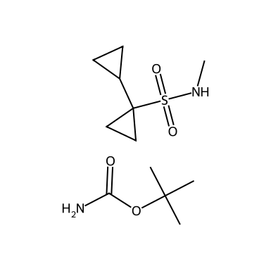 CC(C)(C)OC(N)=O.CNS(=O)(=O)C1(C2CC2)CC1